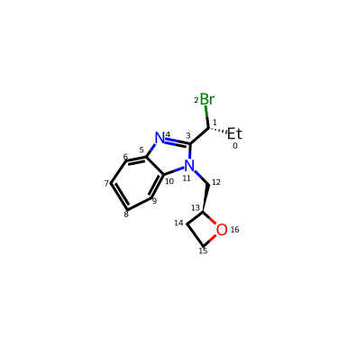 CC[C@@H](Br)c1nc2ccccc2n1C[C@@H]1CCO1